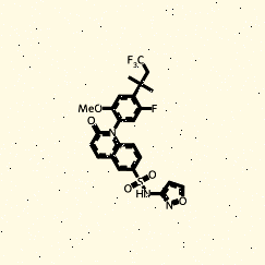 COc1cc(C(C)(C)CC(F)(F)F)c(F)cc1-n1c(=O)ccc2cc(S(=O)(=O)Nc3ccon3)ccc21